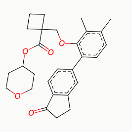 Cc1ccc(-c2ccc3c(c2)CCC3=O)c(OCC2(C(=O)OC3CCOCC3)CCC2)c1C